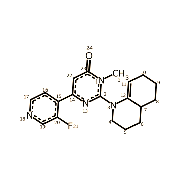 Cn1c(N2CCCC3CCCC=C32)nc(-c2ccncc2F)cc1=O